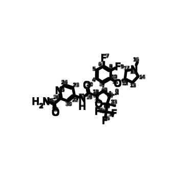 C[C@H]1[C@@H](c2ccc(F)c(F)c2O[C@H]2CCN(C)C2)[C@H](C(=O)Nc2ccnc(C(N)=O)c2)O[C@@]1(C)C(F)(F)F